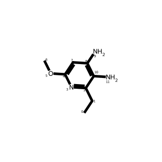 CCc1nc(OC)cc(N)c1N